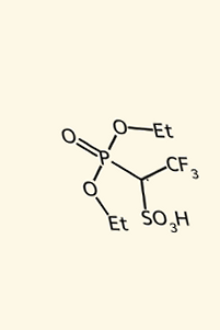 CCOP(=O)(OCC)[C](C(F)(F)F)S(=O)(=O)O